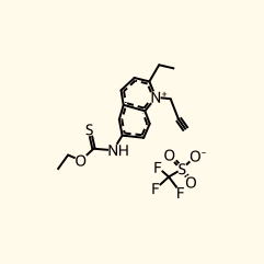 C#CC[n+]1c(CC)ccc2cc(NC(=S)OCC)ccc21.O=S(=O)([O-])C(F)(F)F